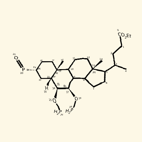 CCOC(=O)CCC(C)C1CCC2C3C(CC[C@]12C)[C@@]1(C)CC[C@@H](P=O)C[C@H]1[C@H](OP)[C@@H]3OP